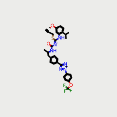 C#CCS/C(=N\C(=O)NC(C)Cc1ccc(-c2ncn(-c3ccc(OC(F)(F)F)cc3)n2)cc1)Nc1cc(OC)ccc1C(C)C